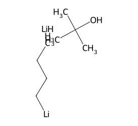 CC(C)(C)O.[LiH].[Li][CH2]CCC